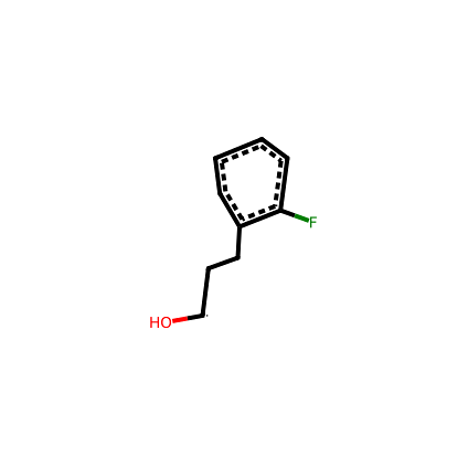 O[CH]CCc1ccccc1F